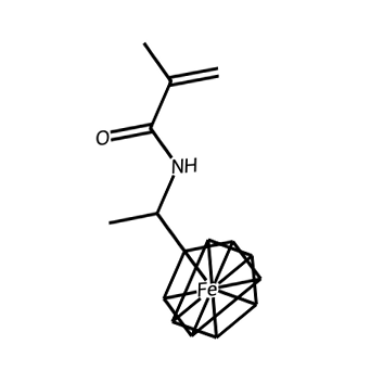 C=C(C)C(=O)NC(C)[C]12[CH]3[CH]4[CH]5[CH]1[Fe]45321678[CH]2[CH]1[CH]6[CH]7[CH]28